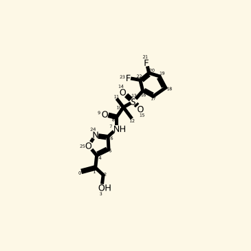 C=C(CO)c1cc(NC(=O)C(C)(C)S(=O)(=O)c2cccc(F)c2F)no1